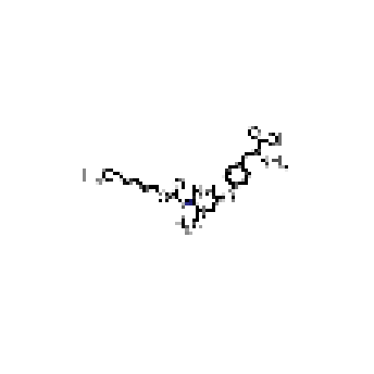 CCCCCCOC(=O)/N=C(\N)N(C)CC(=O)Oc1ccc(CC(N)C(=O)O)cc1